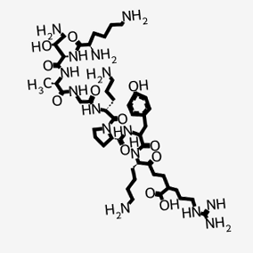 C[C@H](NC(=O)[C@@H](NC(=O)[C@@H](N)CCCCN)[C@@H](O)CN)C(=O)NCC(=O)N[C@H](CCCN)C(=O)N1CCC[C@H]1C(=O)NC(Cc1ccc(O)cc1)C(=O)N[C@@H](CCCCN)C(=O)CCC(CCCNC(=N)N)C(=O)O